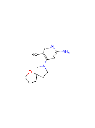 N#Cc1cnc(N)cc1N1CCC2(CCCO2)C1